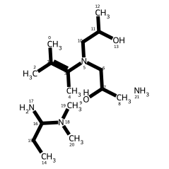 CC(C)=C(C)N(CC(C)O)CC(C)O.CCC(N)N(C)C.N